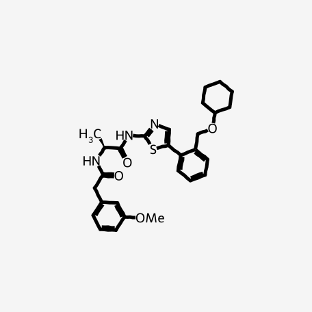 COc1cccc(CC(=O)N[C@@H](C)C(=O)Nc2ncc(-c3ccccc3COC3CCCCC3)s2)c1